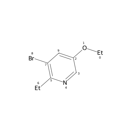 CCOc1cnc(CC)c(Br)c1